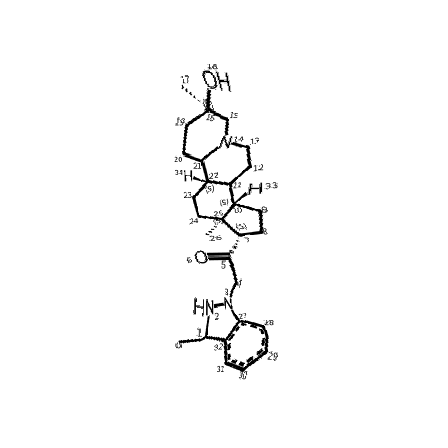 CC1NN(CC(=O)[C@H]2CC[C@H]3C4CCN5C[C@](C)(O)CCC5[C@H]4CC[C@]23C)c2ccccc21